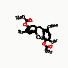 COC(=O)Oc1cc(Cc2cc(OC(=O)OC)c(C(C)(C)C)cc2OC)c(OC)cc1C(C)(C)C